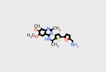 COc1cc2nc(C)nc(NC(C)c3ccc(-c4ccc(CN)o4)s3)c2cc1OC